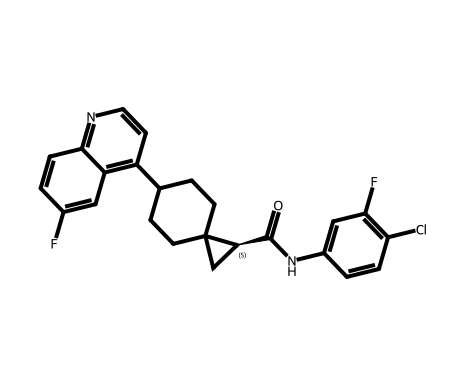 O=C(Nc1ccc(Cl)c(F)c1)[C@H]1CC12CCC(c1ccnc3ccc(F)cc13)CC2